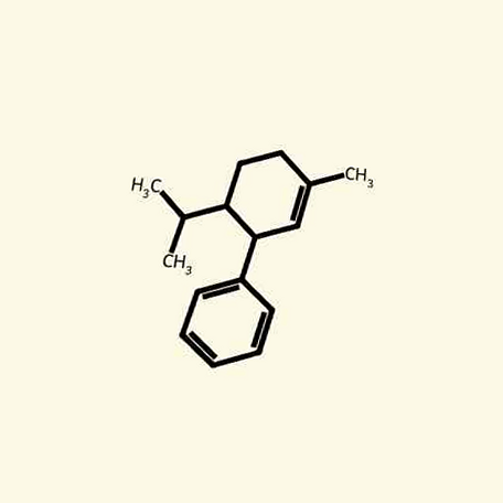 CC1=CC(c2ccccc2)C(C(C)C)CC1